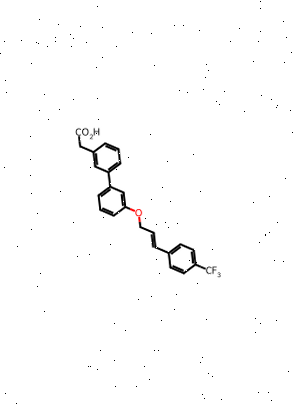 O=C(O)Cc1cccc(-c2cccc(OCC=Cc3ccc(C(F)(F)F)cc3)c2)c1